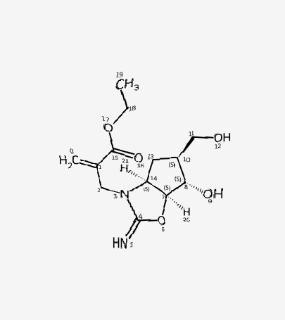 C=C(CN1C(=N)O[C@@H]2[C@@H](O)[C@H](CO)C[C@@H]21)C(=O)OCC